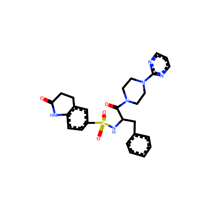 O=C1CCc2cc(S(=O)(=O)NC(Cc3ccccc3)C(=O)N3CCN(c4ncccn4)CC3)ccc2N1